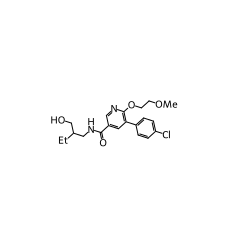 CCC(CO)CNC(=O)c1cnc(OCCOC)c(-c2ccc(Cl)cc2)c1